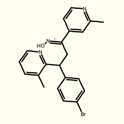 Cc1cc(/C(CC(c2ccc(Br)cc2)c2ncccc2C)=N/O)ccn1